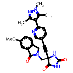 COc1ccc2c(c1)C(=O)N(C[C@@]1(C#Cc3ccc(-c4c(C)nn(C)c4C)nc3)NC(=O)NC1=O)C2